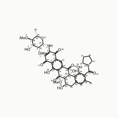 CO[C@@H]1[C@@H](O)[C@@H](OC)[C@@H](NC2=CC(=O)c3c(cc4c(c3O)C(=O)[C@]3(OC)[C@H](O)Cc5cc(C)c(C(=O)N6CCCC6)c(O)c5[C@]3(O)C4=O)C2=O)O[C@H]1C